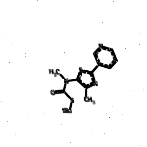 Cc1nc(-c2cccnc2)sc1N(C)C(=O)SC(C)(C)C